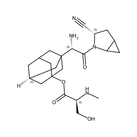 CN[C@@H](CO)C(=O)OC12CC3C[C@H](C1)CC([C@H](N)C(=O)N1C4CC4C[C@H]1C#N)(C3)C2